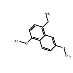 COc1ccc2c(OC)ccc(CN)c2c1